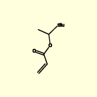 [CH2]C(C)(C)C(C)OC(=O)C=C